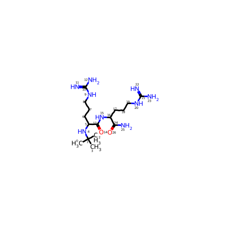 CC(C)(C)NC(CCCNC(=N)N)C(=O)NC(CCCNC(=N)N)C(N)=O